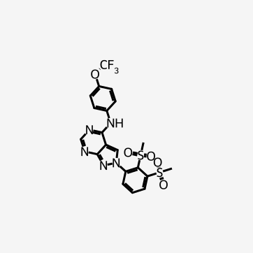 CS(=O)(=O)c1cccc(-n2cc3c(Nc4ccc(OC(F)(F)F)cc4)ncnc3n2)c1S(C)(=O)=O